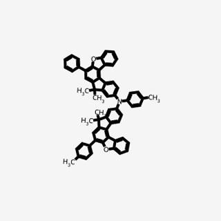 Cc1ccc(-c2cc3c(c4c2oc2ccccc24)-c2ccc(N(c4ccc(C)cc4)c4ccc5c(c4)C(C)(C)c4cc(-c6ccccc6)c6oc7ccccc7c6c4-5)cc2C3(C)C)cc1